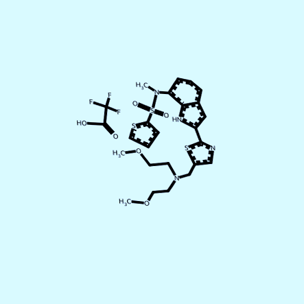 COCCN(CCOC)Cc1cnc(-c2cc3cccc(N(C)S(=O)(=O)c4cccs4)c3[nH]2)s1.O=C(O)C(F)(F)F